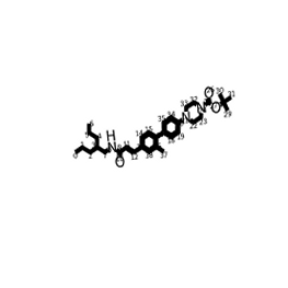 CCCC(CCC)CNC(=O)/C=C/c1ccc(-c2ccc(N3CCN(C(=O)OC(C)(C)C)CC3)cc2)c(C)c1